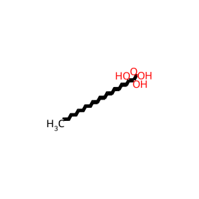 CCCCCCCCC/C=C/C=C/C=C/C=C/C=C/C(O)=C(\O)C(=O)O